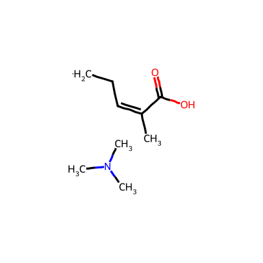 CN(C)C.[CH2]CC=C(C)C(=O)O